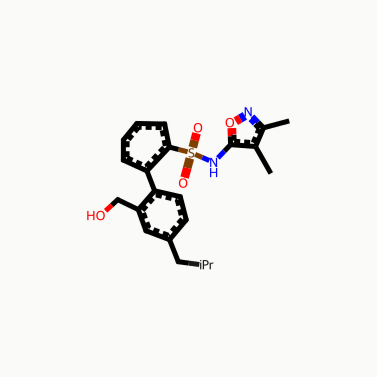 Cc1noc(NS(=O)(=O)c2ccccc2-c2ccc(CC(C)C)cc2CO)c1C